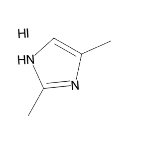 Cc1c[nH]c(C)n1.I